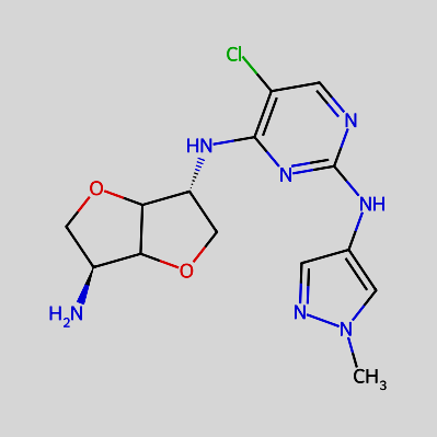 Cn1cc(Nc2ncc(Cl)c(N[C@@H]3COC4C3OC[C@@H]4N)n2)cn1